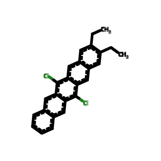 CCc1cc2cc3c(Cl)c4cc5ccccc5cc4c(Cl)c3cc2cc1CC